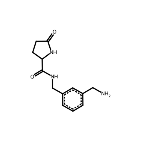 NCc1cccc(CNC(=O)C2CCC(=O)N2)c1